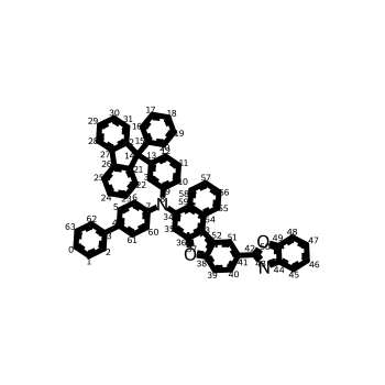 c1ccc(-c2ccc(N(c3cccc(C4(c5ccccc5)c5ccccc5-c5ccccc54)c3)c3cc4oc5ccc(-c6nc7ccccc7o6)cc5c4c4ccccc34)cc2)cc1